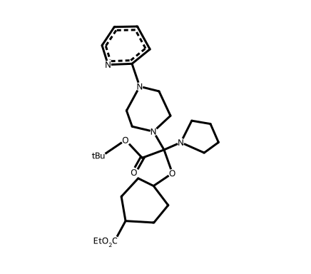 CCOC(=O)C1CCC(OC(C(=O)OC(C)(C)C)(N2CCCC2)N2CCN(c3ccccn3)CC2)CC1